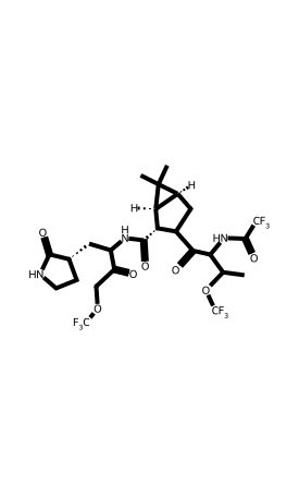 CC(OC(F)(F)F)C(NC(=O)C(F)(F)F)C(=O)C1C[C@H]2[C@@H]([C@H]1C(=O)NC(C[C@@H]1CCNC1=O)C(=O)COC(F)(F)F)C2(C)C